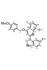 COc1ccc(COc2cc(C(CN)c3cccc(F)c3)nc3c(F)ccc(C)c23)cc1